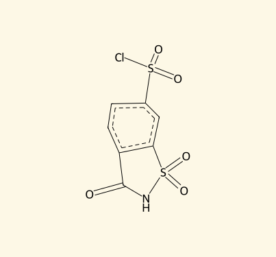 O=C1NS(=O)(=O)c2cc(S(=O)(=O)Cl)ccc21